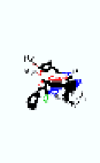 COc1ccc(CCN(C)CCC(C#N)(c2nc(Cl)c3c(c2O)COC3c2ccccc2)C(C)C)cc1OC